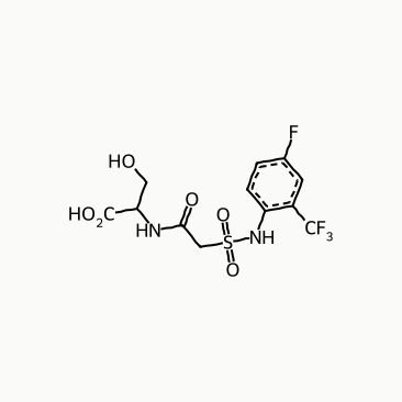 O=C(CS(=O)(=O)Nc1ccc(F)cc1C(F)(F)F)NC(CO)C(=O)O